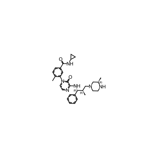 Cc1ccc(C(=O)NC2CC2)cc1-n1ccnc(N[C@@H](c2ccccc2)[C@H](C)CN2CCN[C@H](C)C2)c1=O